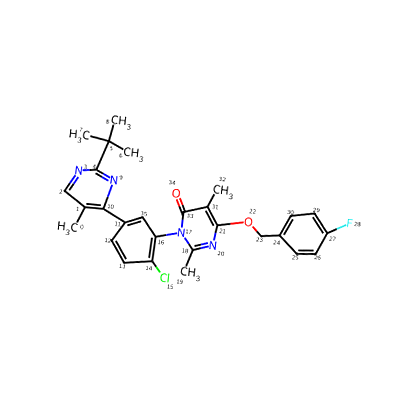 Cc1cnc(C(C)(C)C)nc1-c1ccc(Cl)c(-n2c(C)nc(OCc3ccc(F)cc3)c(C)c2=O)c1